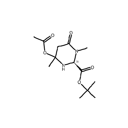 CC(=O)OC1(C)CC(=O)N(C)[C@@H](C(=O)OC(C)(C)C)N1